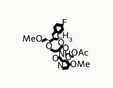 COCC[C@H]1OCC[C@H](NC(=O)c2nccc(OC)c2OCOC(C)=O)C(=O)O[C@@H](C)[C@@H]1Cc1ccc(F)cc1